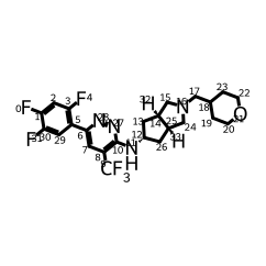 Fc1cc(F)c(-c2cc(C(F)(F)F)c(N[C@@H]3C[C@@H]4CN(CC5CCOCC5)C[C@@H]4C3)nn2)cc1F